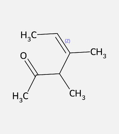 C/C=C(/C)C(C)C(C)=O